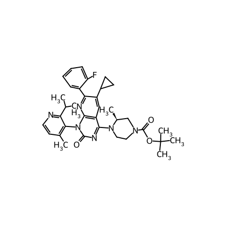 Cc1ccnc(C(C)C)c1-n1c(=O)nc(N2CCN(C(=O)OC(C)(C)C)C[C@@H]2C)c2cc(C3CC3)c(-c3ccccc3F)nc21